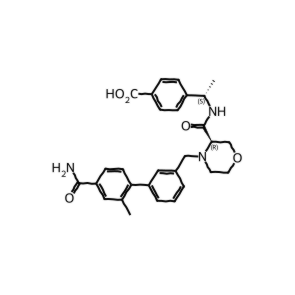 Cc1cc(C(N)=O)ccc1-c1cccc(CN2CCOC[C@@H]2C(=O)N[C@@H](C)c2ccc(C(=O)O)cc2)c1